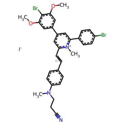 COc1cc(-c2cc(/C=C/c3ccc(N(C)CCC#N)cc3)[n+](C)c(-c3ccc(Br)cc3)c2)cc(OC)c1Br.[I-]